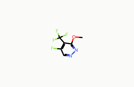 COc1nncc(F)c1C(F)(F)F